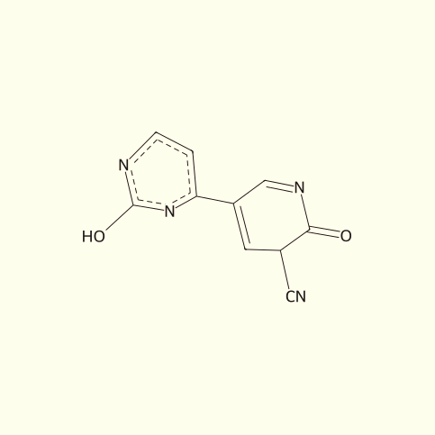 N#CC1C=C(c2ccnc(O)n2)C=NC1=O